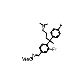 CCc1cc(C=NOC)ccc1C(C)(CCCN(C)C)c1ccc(F)cc1